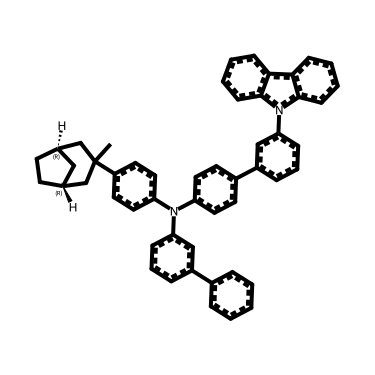 CC1(c2ccc(N(c3ccc(-c4cccc(-n5c6ccccc6c6ccccc65)c4)cc3)c3cccc(-c4ccccc4)c3)cc2)C[C@@H]2CC[C@H](C2)C1